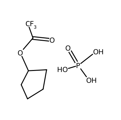 O=C(OC1CCCC1)C(F)(F)F.O=P(O)(O)O